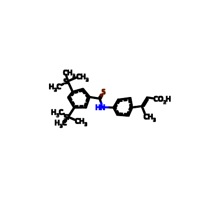 CC(=CC(=O)O)c1ccc(NC(=S)c2cc([Si](C)(C)C)cc([Si](C)(C)C)c2)cc1